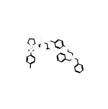 Cc1ccc(S(=O)(=O)N2CCC[C@H]2C(=O)N[C@@H](Cc2ccc(OCCN(Cc3ccccc3)Cc3ccccc3)cc2)C(=O)O)cc1